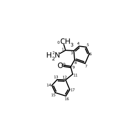 CC(N)c1ccccc1C(=O)Cc1ccccc1